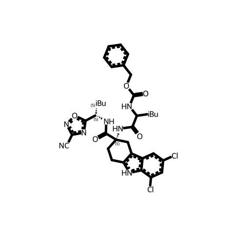 CCC(C)C(NC(=O)OCc1ccccc1)C(=O)N[C@@]1(C(=O)N[C@H](c2nc(C#N)no2)[C@@H](C)CC)CCc2[nH]c3c(Cl)cc(Cl)cc3c2C1